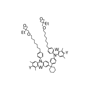 CCC1(COCCCCCCCc2ccc(N(c3ccc(C4(c5ccc(N(c6ccc(CCCCCCCOCC7(CC)COC7)cc6)c6cc(C)[c]([Y])c(C)[c]6[W])cc5)CCCCC4)cc3)c3cc(C)[c]([Y])c(C)[c]3[W])cc2)COC1